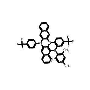 Cc1cc(C)c(B2c3cc(C(F)(F)F)ccc3N3c4cc5ccccc5cc4N(c4ccc(C(F)(F)F)cc4)c4cc5ccccc5c2c43)c(C)c1